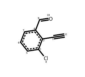 C#Cc1c(Cl)cccc1C=O